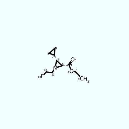 CCOC(=O)[C@H]1[C@@H](C2CC2)N1CCF